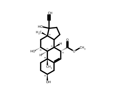 C#CC1(O)CCC2[C@H]3[C@H]([C@H](O)C[C@@]21C)[C@@]1(C)CC[C@H](O)CC1=C[C@H]3C(=O)OC